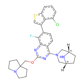 Fc1c(-c2csc3cccc(Cl)c23)ccc2c(N3C[C@H]4CC[C@@H](C3)N4)nc(OCC34CCCN3CCC4)nc12